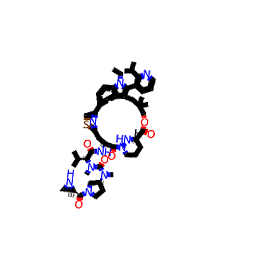 CCn1c(-c2cccnc2C(C)C)c2c3cc(ccc31)-c1csc(n1)C[C@H](NC(=O)[C@H](C(C)C)N(C)C(=O)N(C)[C@H]1CCN(C(=O)[C@@H]3CN3)C1)C(=O)N1CCC[C@H](N1)C(=O)OCC(C)(C)C2